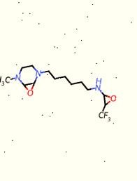 CN1CCN(CCCCCCNC2OC2C(F)(F)F)C2OC21